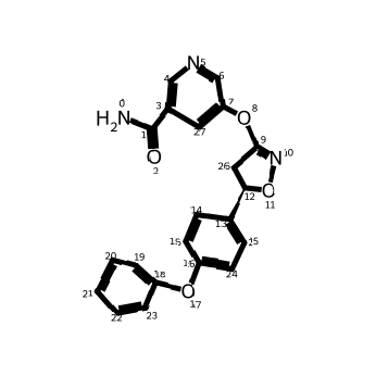 NC(=O)c1cncc(OC2=NO[C@@H](c3ccc(Oc4ccccc4)cc3)C2)c1